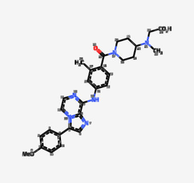 COc1ccc(-c2cnc3c(Nc4ccc(C(=O)N5CCC(N(C)CC(=O)O)CC5)c(C)c4)nccn23)cc1